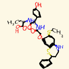 CC[C@H](NC(=O)[C@H](NC(=O)COc1cc2c(cc1SC)NCCC(c1ccccc1)S2)c1ccc(O)cc1)C(=O)O